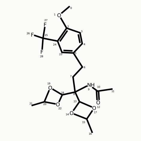 COc1ccc(CCC(NC(C)=O)(C2OC(C)O2)C2OC(C)O2)cc1C(F)(F)F